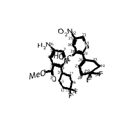 COC(=O)c1cc(N)cnc1C1CCC(F)(F)CC1.O=C(O)c1cc([N+](=O)[O-])cnc1C1=CCC(F)(F)CC1